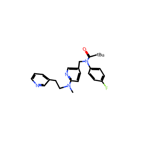 CN(CCc1cccnc1)c1ccc(CN(C(=O)C(C)(C)C)c2ccc(F)cc2)cn1